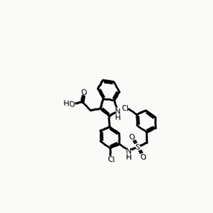 O=C(O)Cc1c(-c2ccc(Cl)c(NS(=O)(=O)Cc3cccc(Cl)c3)c2)[nH]c2ccccc12